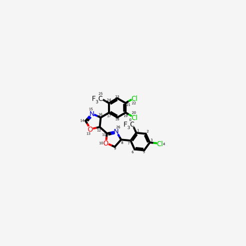 FC(F)(F)c1cc(Cl)ccc1C1COC(C2O[C]=NC2c2cc(Cl)c(Cl)cc2C(F)(F)F)=N1